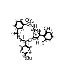 Cc1cccc(C)c1-c1cc2nc(n1)NS(=O)(=O)c1cccc(c1)C(=O)NCC(c1cnc(C(C)(C)C)nc1)O2